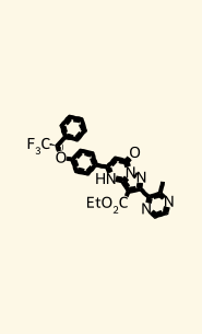 CCOC(=O)c1c(-c2nccnc2C)nn2c(=O)cc(-c3ccc(O[C@@H](c4ccccc4)C(F)(F)F)cc3)[nH]c12